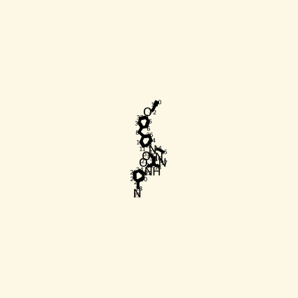 C#CCOc1ccc(Cc2ccc(N3CCn4ncc(C(=O)Nc5cccc(C#N)c5)c4C3=O)cc2)cc1